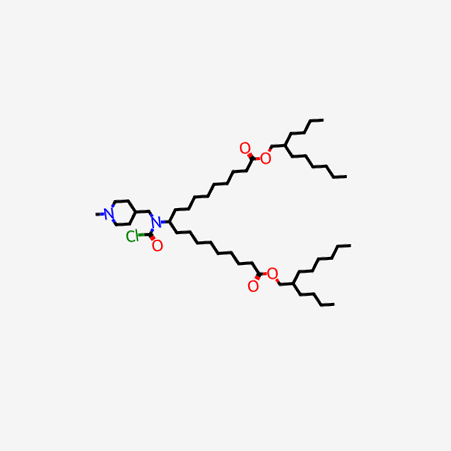 CCCCCCC(CCCC)COC(=O)CCCCCCCCC(CCCCCCCCC(=O)OCC(CCCC)CCCCCC)N(CC1CCN(C)CC1)C(=O)Cl